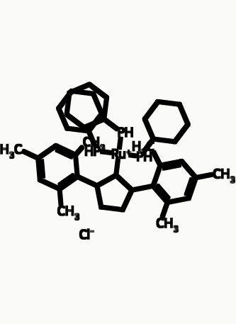 Cc1cc(C)c(C2CCC(c3c(C)cc(C)cc3C)[CH]2[Ru+]([PH]C2CCCCC2)([PH]C2CCCCC2)[PH]C2CCCCC2)c(C)c1.[Cl-]